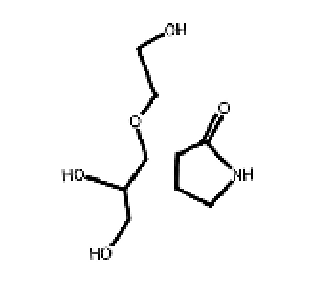 O=C1CCCN1.OCCOCC(O)CO